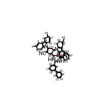 CC1=Cc2c3c(n(C4=C(C#N)C=C(C5NC(c6cccc(-c7ccccc7)c6)NC(C6CC=CCC6)N5)C(n5c6c(c7cc(C)ccc75)C=C(C)CC6)C4)c2CC1)C=CC(C)C3